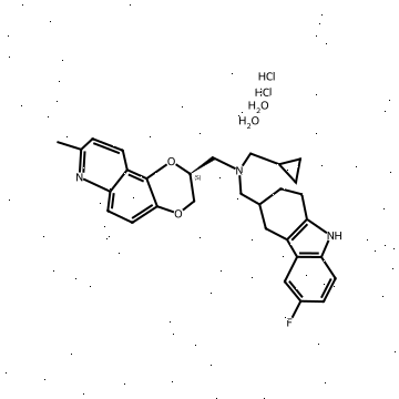 Cc1ccc2c3c(ccc2n1)OC[C@H](CN(CC1CC1)CC1CCc2[nH]c4ccc(F)cc4c2C1)O3.Cl.Cl.O.O